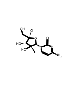 C[C@]1(O)[C@H](n2ccc(N)nc2=O)O[C@](Cl)(CO)[C@H]1O